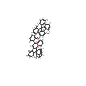 c1ccc(N(c2cc3c4c(c2)oc2cccc(c24)C32c3ccccc3Oc3ccccc32)c2ccccc2-c2ccc3c(c2)-c2ccccc2C32C3CC4CC(C3)CC2C4)cc1